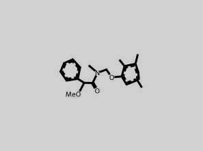 COC(C(=O)N(C)COc1cc(C)cc(C)c1C)c1ccccc1